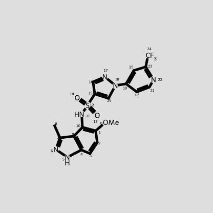 COc1ccc2[nH]nc(C)c2c1NS(=O)(=O)c1cnn(-c2ccnc(C(F)(F)F)c2)c1